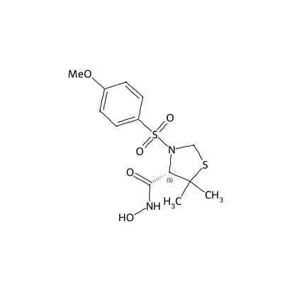 COc1ccc(S(=O)(=O)N2CSC(C)(C)[C@@H]2C(=O)NO)cc1